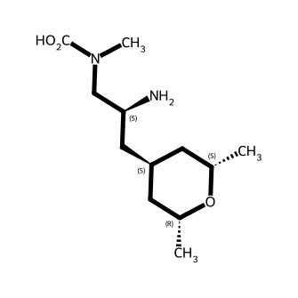 C[C@@H]1C[C@@H](C[C@H](N)CN(C)C(=O)O)C[C@H](C)O1